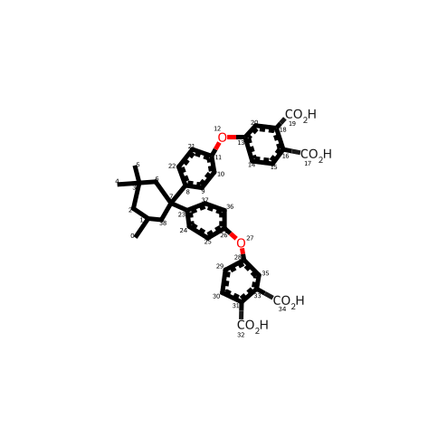 CC1CC(C)(C)CC(c2ccc(Oc3ccc(C(=O)O)c(C(=O)O)c3)cc2)(c2ccc(Oc3ccc(C(=O)O)c(C(=O)O)c3)cc2)C1